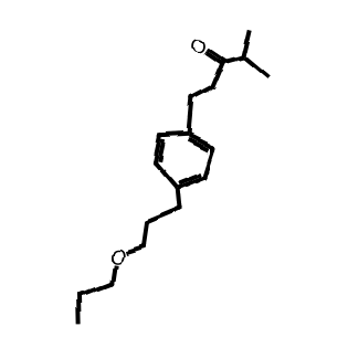 CCCOCCCc1ccc(CCC(=O)C(C)C)cc1